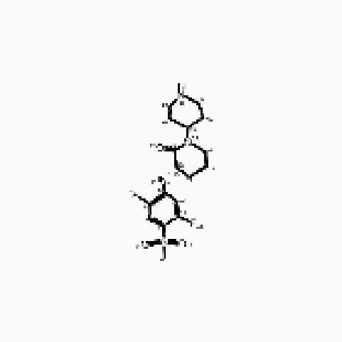 CS(=O)(=O)c1cc(F)c(N[C@H]2CCCN(C3CCNCC3)C2=O)cc1F